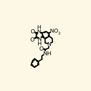 O=C(CN1CCc2c([N+](=O)[O-])cc3[nH]c(=O)c(=O)[nH]c3c2C1)NCCc1ccccc1